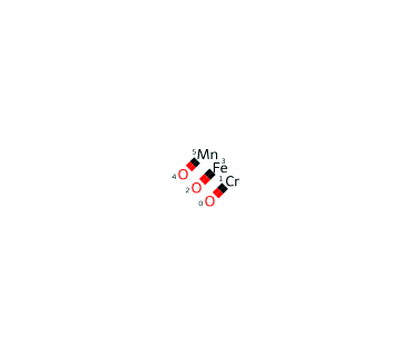 [O]=[Cr].[O]=[Fe].[O]=[Mn]